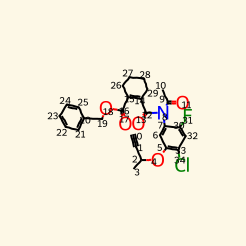 C#CC(C)Oc1cc(N(C(C)=O)C(=O)C2=C(C(=O)OCc3ccccc3)CCCC2)c(F)cc1Cl